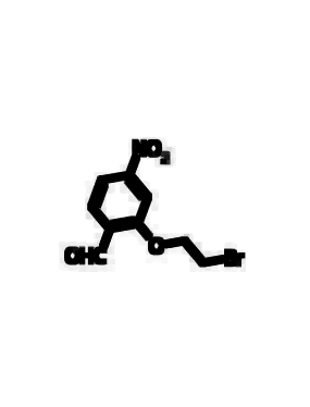 O=Cc1ccc([N+](=O)[O-])cc1OCCBr